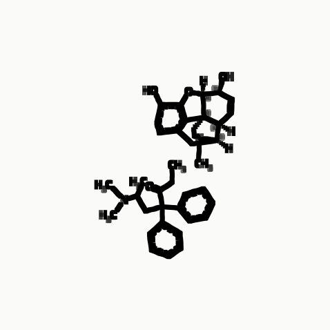 CCC(=O)C(CC(C)N(C)C)(c1ccccc1)c1ccccc1.CN1CC[C@]23c4c5ccc(O)c4O[C@H]2[C@@H](O)C=C[C@H]3[C@H]1C5